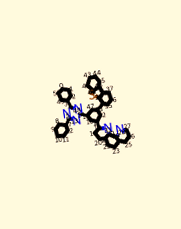 c1ccc(-c2nc(-c3ccccc3)nc(-c3cc(-c4ccc5ccc6cccnc6c5n4)cc(-c4cccc5c4sc4ccccc45)c3)n2)cc1